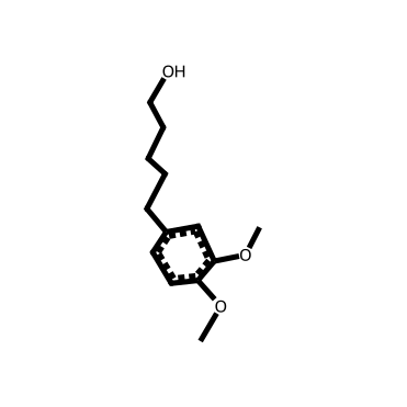 COc1ccc(CCCCCO)cc1OC